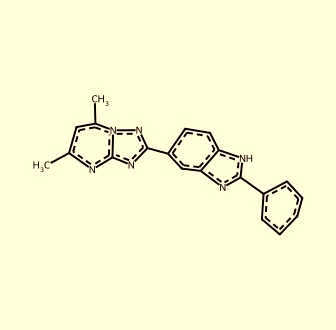 Cc1cc(C)n2nc(-c3ccc4[nH]c(-c5ccccc5)nc4c3)nc2n1